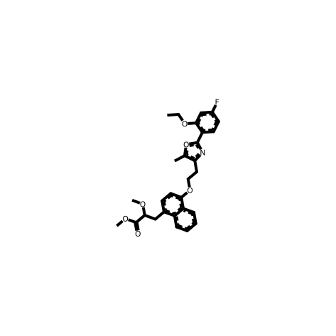 CCOc1cc(F)ccc1-c1nc(CCOc2ccc(CC(OC)C(=O)OC)c3ccccc23)c(C)o1